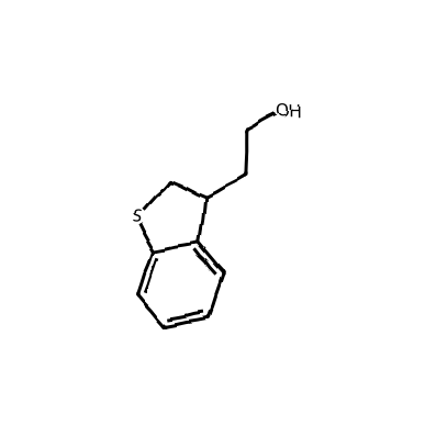 OCCC1CSc2ccccc21